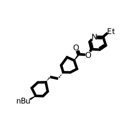 CCCC[C@H]1CC[C@H](CC[C@H]2CC[C@H](C(=O)Oc3ccc(CC)nc3)CC2)CC1